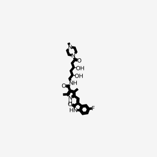 Cc1[nH]c(/C=C2\C(=O)Nc3ccc(F)cc32)c(C)c1C(=O)NC[C@@H](O)C[C@@H](O)CC(=O)N1CCN(C)CC1